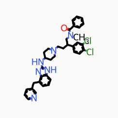 CN(CC(CCN1CCC(Nc2nc3c(Cc4cccnc4)cccc3[nH]2)CC1)c1ccc(Cl)c(Cl)c1)C(=O)c1ccccc1